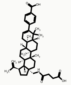 C=C(C)[C@@H]1CC[C@]2(CNC(=O)CCC(=O)O)CC[C@]3(C)[C@H](CC[C@@H]4[C@@]5(C)CC=C(c6ccc(C(=O)O)cc6)C(C)(C)[C@@H]5CC[C@]43C)[C@@H]12